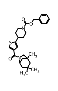 CC1(C)CC2CC(C)(CN2C(=O)c2csc(C3CCN(C(=O)OCc4ccccc4)CC3)c2)C1